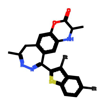 CCc1ccc2sc(C3=NN=C(C)Cc4cc5c(cc43)NC(C)C(=O)O5)c(CC)c2c1